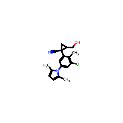 Cc1c(Cl)cc(-n2c(C)ccc2C)cc1C1(C#N)CC1CO